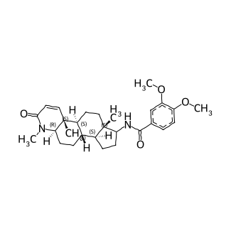 COc1ccc(C(=O)NC2CC[C@H]3[C@@H]4CC[C@H]5N(C)C(=O)C=C[C@]5(C)[C@H]4CC[C@]23C)cc1OC